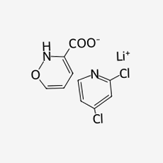 Clc1ccnc(Cl)c1.O=C([O-])C1=CC=CON1.[Li+]